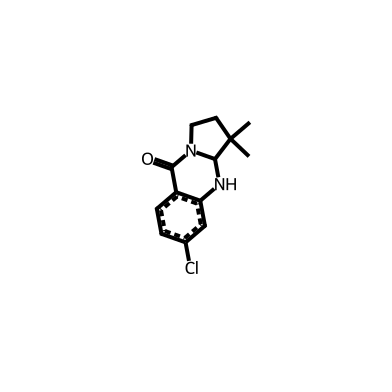 CC1(C)CCN2C(=O)c3ccc(Cl)cc3NC21